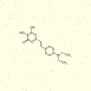 CCN(CC)c1ccc(C=Cc2cc(O)c(O)c(=O)o2)cc1